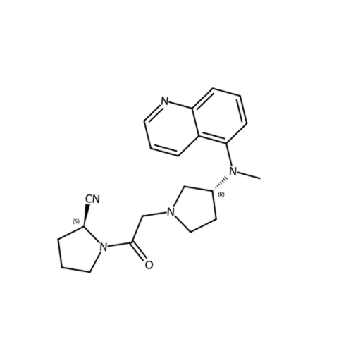 CN(c1cccc2ncccc12)[C@@H]1CCN(CC(=O)N2CCC[C@H]2C#N)C1